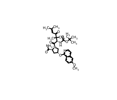 COc1ccc2c(O[C@@H]3C[C@@H](C(N)=O)N(C(=O)[C@@H](NC(=O)OC(C)(C)C)C(C)(C)C(=O)C=C(C)C)C3)nccc2c1